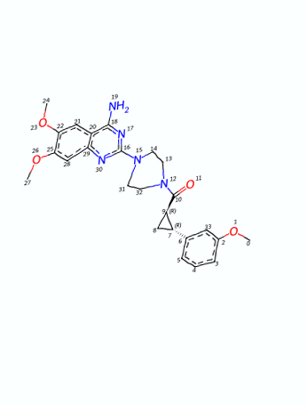 COc1cccc([C@@H]2C[C@H]2C(=O)N2CCN(c3nc(N)c4cc(OC)c(OC)cc4n3)CC2)c1